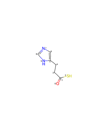 O=C(S)CCc1cnc[nH]1